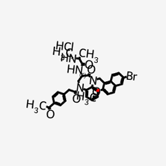 CNC(C)C(=O)N[C@H]1CN(C(=O)Cc2ccc(C(C)=O)cc2)c2ccccc2N(Cc2c(OC)ccc3cc(Br)ccc23)C1=O.Cl